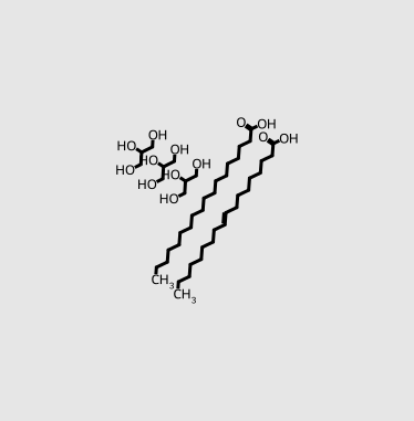 CCCCCCCCC=CCCCCCCCC(=O)O.CCCCCCCCCCCCCCCCCC(=O)O.OCC(O)CO.OCC(O)CO.OCC(O)CO